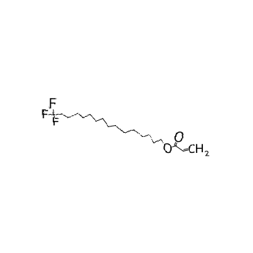 C=CC(=O)OCCCCCCCCCCCCCCCC(F)(F)F